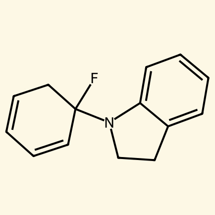 FC1(N2CCc3ccccc32)C=CC=CC1